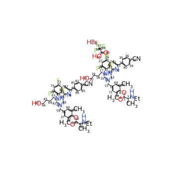 Br.CCNC(C)C(=O)Oc1c(C)cc(C[N+]2=C[N@+](CCCCO)(c3ccc(F)cc3F)N(c3nc(-c4ccc(C#N)cc4)cs3)C2)cc1C.CCNC(C)C(=O)Oc1c(C)cc(C[N+]2=C[N@+](CCCCO)(c3ccc(F)cc3F)N(c3nc(-c4ccc(C#N)cc4)cs3)C2)cc1C.O=C(O)C(F)(F)F